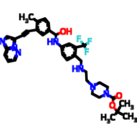 Cc1ccc(C(O)Nc2ccc(CNCCN3CCN(C(=O)OC(C)(C)C)CC3)c(C(F)(F)F)c2)cc1C#Cc1cnc2cccnn12